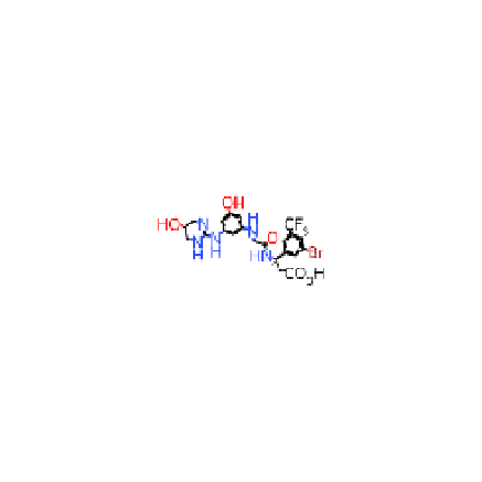 O=C(O)C[C@H](NC(=O)CNc1cc(O)cc(NC2=NCC(O)CN2)c1)c1cc(Br)cc(C(F)(F)F)c1